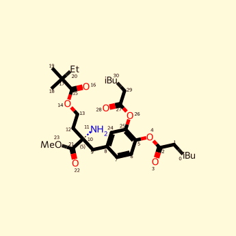 CCC(C)CC(=O)Oc1ccc(C[C@](N)(CCOC(=O)C(C)(C)CC)C(=O)OC)cc1OC(=O)CC(C)CC